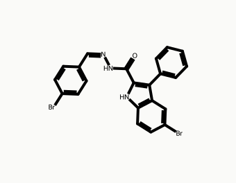 O=C(N/N=C\c1ccc(Br)cc1)c1[nH]c2ccc(Br)cc2c1-c1ccccc1